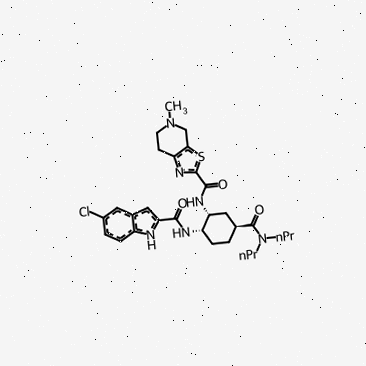 CCCN(CCC)C(=O)[C@H]1CC[C@H](NC(=O)c2cc3cc(Cl)ccc3[nH]2)[C@H](NC(=O)c2nc3c(s2)CN(C)CC3)C1